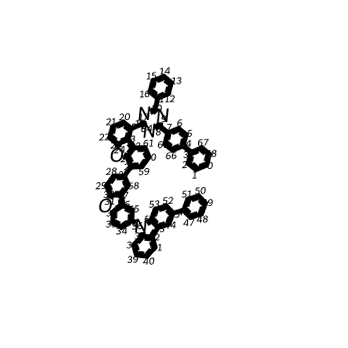 c1ccc(-c2ccc(-c3nc(-c4ccccc4)nc(-c4cccc5oc6c(-c7ccc8oc9ccc(-n%10c%11ccccc%11c%11cc(-c%12ccccc%12)ccc%11%10)cc9c8c7)cccc6c45)n3)cc2)cc1